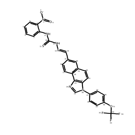 O=[N+]([O-])c1ccccc1NC(=S)N/N=C/c1ccc2c(ccc3c2ncn3-c2ccc(OC(F)(F)F)cc2)c1